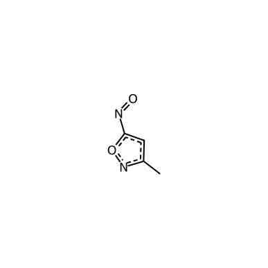 Cc1cc(N=O)on1